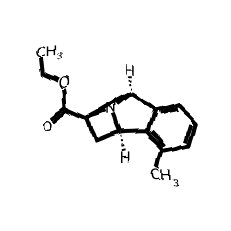 CCOC(=O)C12C[C@@H]3c4c(C)cccc4[C@H]1N32